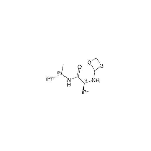 CC(C)[C@H](C)NC(=O)[C@@H](NC1OCO1)C(C)C